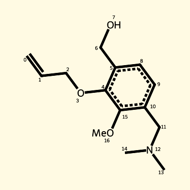 C=CCOc1c(CO)ccc(CN(C)C)c1OC